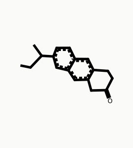 CCC(C)c1ccc2cc3c(cc2c1)CC(=O)CC3